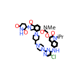 CNC(=O)COc1cc2cc(Nc3nc(N4CCN(CC5CCN(c6cccc7c6CN(C6CCC(=O)NC6=O)C7=O)CC5)CC4)ncc3Cl)ccc2n(C(C)C)c1=O